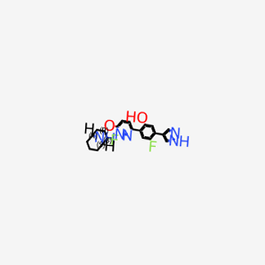 Oc1cc(-c2cn[nH]c2)c(F)cc1-c1ccc(O[C@@H]2C[C@H]3CCC[C@H](N3)[C@@H]2F)nn1